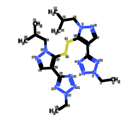 CCn1nnc(-c2cnn(CC(C)C)c2SSc2c(-c3nnn(CC)n3)cnn2CC(C)C)n1